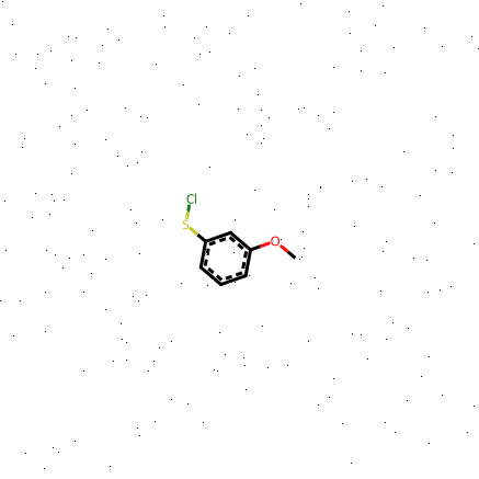 COc1[c]ccc(SCl)c1